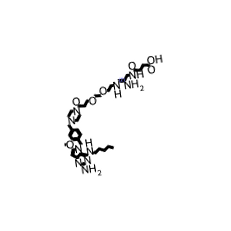 CCCCCNc1nc(N)nc2ccn(Cc3ccc(CN4CCN(C(=O)CCOCCOCCN/C=C(\N)CNC(=O)CCC(=O)O)CC4)cc3OC)c12